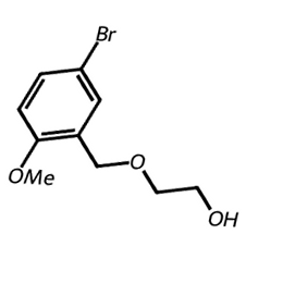 COc1ccc(Br)cc1COCCO